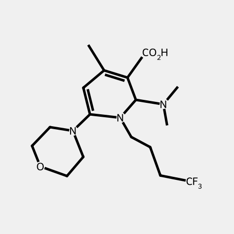 CC1=C(C(=O)O)C(N(C)C)N(CCCC(F)(F)F)C(N2CCOCC2)=C1